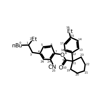 CCCCC(CC)Cc1ccc(OC(=O)C2(c3ccc(CC)cc3)CCCCC2)c(C#N)c1